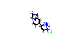 Clc1ccc(-c2ccn3[c]cnc3c2)nn1